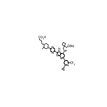 COCC1(CN(C)c2cc(-c3cc(C4CC4)nc(C(F)(F)F)c3)nc3nc(-c4cnc(N5CCN(CCCC(=O)O)[C@H](C)C5)cn4)[nH]c23)CCC1